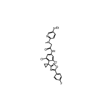 CCSc1ccc(N(C)CC(=O)Nc2cc(Cl)c(C3(c4noc(-c5ccc(F)cc5)n4)CC3)c(Cl)c2)nc1